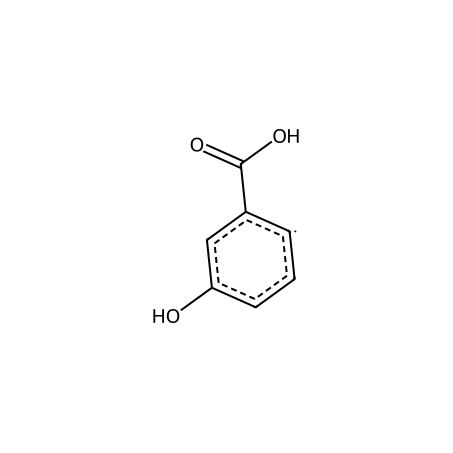 O=C(O)c1[c]ccc(O)c1